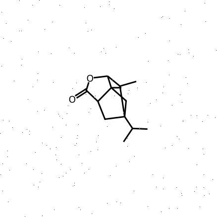 CC(C)C12CC3C(=O)OC(C1C)C3(C)C2